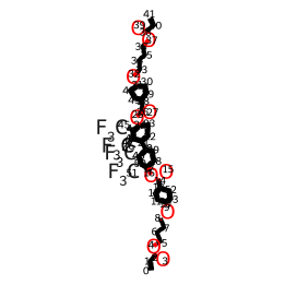 C=CC(=O)OCCCCOc1ccc(C(=O)Oc2ccc(-c3ccc(OC(=O)c4ccc(OCCCCOC(=O)C=C)cc4)c(C(F)(F)F)c3C(F)(F)F)c(C(F)(F)F)c2C(F)(F)F)cc1